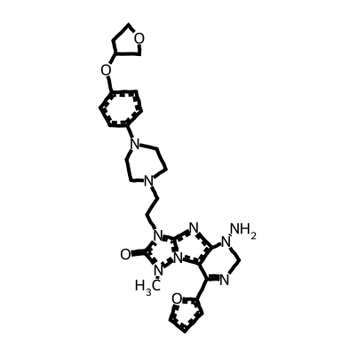 Cn1c(=O)n(CCN2CCN(c3ccc(OC4CCOC4)cc3)CC2)c2nc3c(n21)C(c1ccco1)=NCN3N